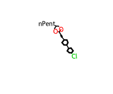 CCCCCC1COC(C#Cc2ccc(-c3ccc(Cl)cc3)cc2)OC1